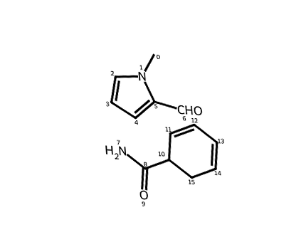 Cn1cccc1C=O.NC(=O)C1C=CC=CC1